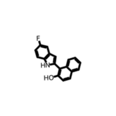 Oc1ccc2ccccc2c1-c1cc2cc(F)ccc2[nH]1